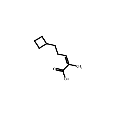 CC(=CCCC1CCC1)C(=O)O